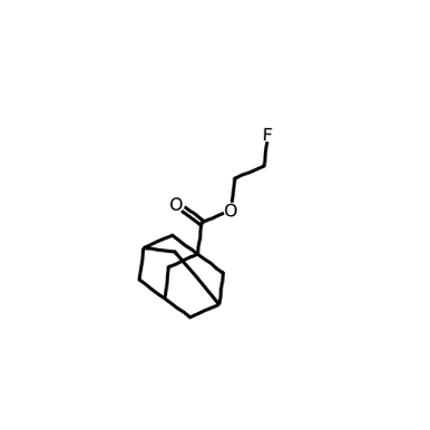 O=C(OCCF)C12CC3CC(CC(C3)C1)C2